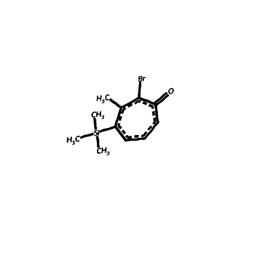 Cc1c([Si](C)(C)C)cccc(=O)c1Br